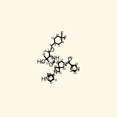 C[C@@H](OCC1CCC(F)(F)CC1)[C@H](NC(=O)[C@@H]1CN(C(=O)c2cncs2)CC12CN(c1cc[nH]n1)C2)C(C)(C)O